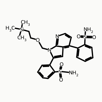 C[Si](C)(C)CCOCn1c(-c2ccccc2S(N)(=O)=O)cc2c(-c3ccccc3S(N)(=O)=O)ccnc21